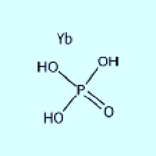 O=P(O)(O)O.[Yb]